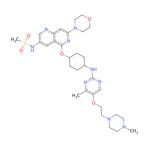 Cc1nc(NC2CCC(Oc3nc(N4CCOCC4)cc4ncc(NS(C)(=O)=O)cc34)CC2)ncc1OCCN1CCN(C)CC1